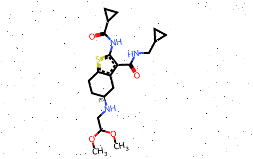 COC(CN[C@H]1CCc2sc(NC(=O)C3CC3)c(C(=O)NCC3CC3)c2C1)OC